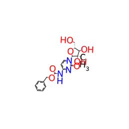 C[C@@]1(O)[C@H](O)[C@@H](CO)O[C@H]1n1ccc(NC(=O)OCc2ccccc2)nc1=O